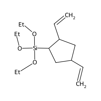 C=CC1CC(C=C)C([Si](OCC)(OCC)OCC)C1